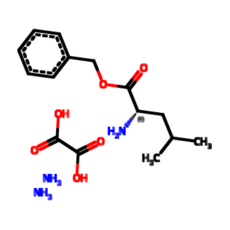 CC(C)C[C@H](N)C(=O)OCc1ccccc1.N.N.O=C(O)C(=O)O